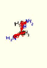 COC(=O)C1CC(NC(=O)OCC#Cc2cc(C#CCOC(=O)Cc3cccc(CN)c3)cc(C(C=O)OC)c2)CN1C(=O)CCc1cccc(CN)c1.Cl.Cl